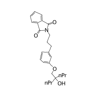 CCCC(O)(CCC)COc1cccc(CCCN2C(=O)c3ccccc3C2=O)c1